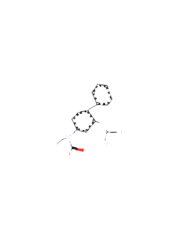 CCN(C(=O)O)c1ccc(-c2ccccc2)c(SC(C)C)c1